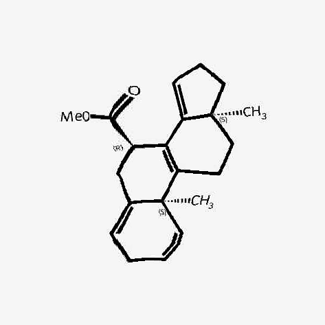 COC(=O)[C@@H]1CC2=CCC=C[C@]2(C)C2=C1C1=CCC[C@@]1(C)CC2